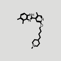 Cc1cnc(OCCCCC2CCN(C)CC2)cc1-c1nc2c(C)c(C)ccc2[nH]1